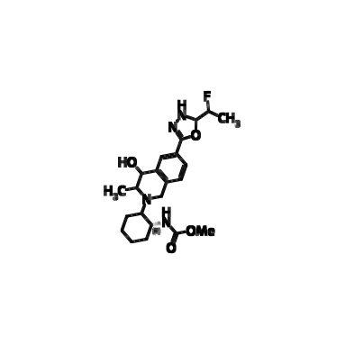 COC(=O)N[C@@H]1CCCCC1N1Cc2ccc(C3=NNC(C(C)F)O3)cc2C(O)C1C